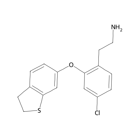 NCCc1ccc(Cl)cc1Oc1ccc2c(c1)SCC2